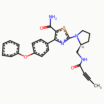 CC#CC(=O)NC[C@@H]1CCCN1c1nc(-c2ccc(Oc3ccccc3)cc2)c(C(N)=O)s1